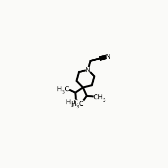 CC(C)C1(C(C)C)CCN(CC#N)CC1